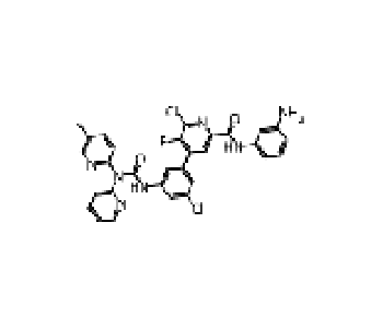 Cc1ccc(N(C(=O)Nc2cc(Cl)cc(-c3cc(C(=O)Nc4cccc(N)c4)nc(Cl)c3F)c2)c2ccccn2)nc1